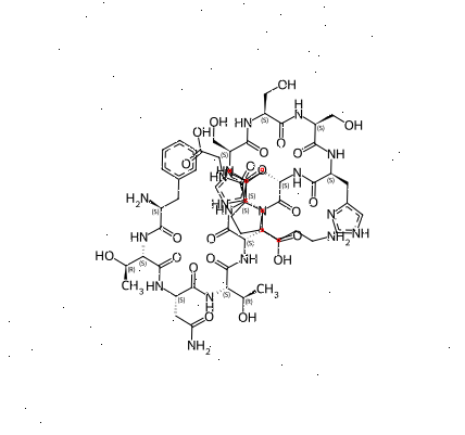 C[C@@H](O)[C@H](NC(=O)[C@H](CC(N)=O)NC(=O)[C@@H](NC(=O)[C@@H](N)Cc1ccccc1)[C@@H](C)O)C(=O)N[C@@H](CCCCN)C(=O)N[C@@H](CCC(=O)O)C(=O)N[C@@H](CO)C(=O)N[C@@H](CO)C(=O)N[C@@H](CO)C(=O)N[C@@H](Cc1c[nH]cn1)C(=O)N[C@@H](Cc1c[nH]cn1)C(=O)N1CCC[C@H]1C(=O)NCC(=O)O